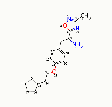 Cc1noc([C@@H](N)Cc2ccc(OCCC3CCCC3)cc2)n1